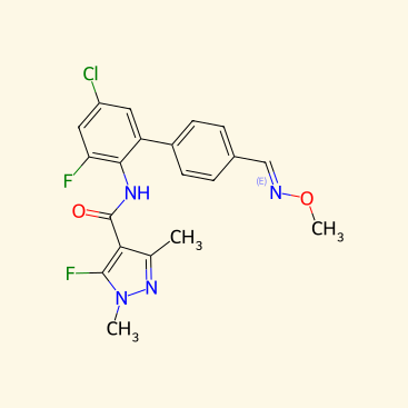 CO/N=C/c1ccc(-c2cc(Cl)cc(F)c2NC(=O)c2c(C)nn(C)c2F)cc1